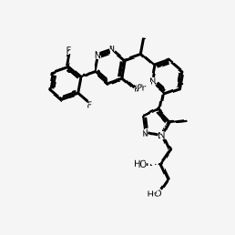 Cc1c(-c2cccc(C(C)c3nnc(-c4c(F)cccc4F)cc3C(C)C)n2)cnn1C[C@@H](O)CO